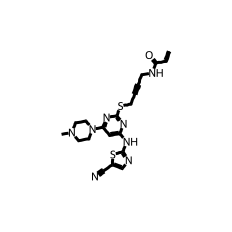 C=CC(=O)NCC#CCSc1nc(Nc2ncc(C#N)s2)cc(N2CCN(C)CC2)n1